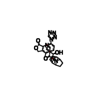 Cc1c([C@@H](O)CN2C3CCC2C2CCC3N2C(=O)c2ccc(-n3cnnn3)nc2)ccc2c1COC2=O